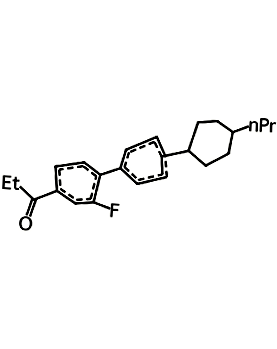 CCCC1CCC(c2ccc(-c3ccc(C(=O)CC)cc3F)cc2)CC1